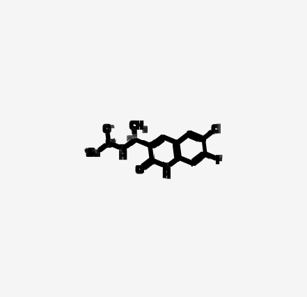 C[C@@H](N[S+]([O-])C(C)(C)C)c1cc2cc(Cl)c(F)cc2[nH]c1=O